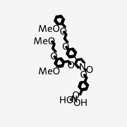 COCCCOc1cc(COC2CN(C(=O)OCc3ccc(CON(O)O)cc3)CC[C@@H]2c2ccc(OCCCOCc3ccccc3OC)cc2)cc(OC)c1